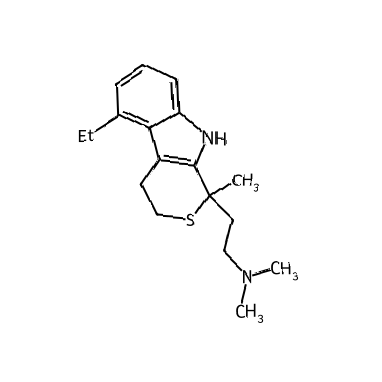 CCc1cccc2[nH]c3c(c12)CCSC3(C)CCN(C)C